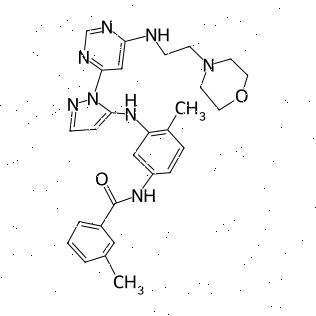 Cc1cccc(C(=O)Nc2ccc(C)c(Nc3ccnn3-c3cc(NCCN4CCOCC4)ncn3)c2)c1